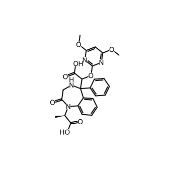 COc1cc(OC)nc(OC(C(=O)O)C2(c3ccccc3)NCC(=O)N([C@H](C)C(=O)O)c3ccccc32)n1